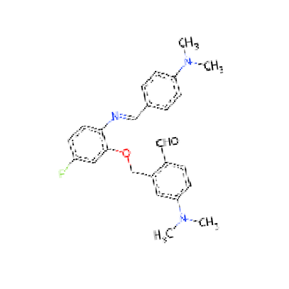 CN(C)c1ccc(C=Nc2ccc(F)cc2OCc2cc(N(C)C)ccc2C=O)cc1